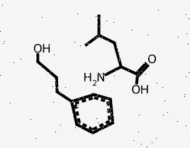 CC(C)CC(N)C(=O)O.OCCCc1ccccc1